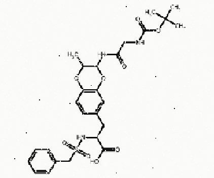 CC1Oc2ccc(C[C@H](NS(=O)(=O)Cc3ccccc3)C(=O)O)cc2OC1NC(=O)CNC(=O)OC(C)(C)C